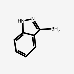 Bc1n[nH]c2ccccc12